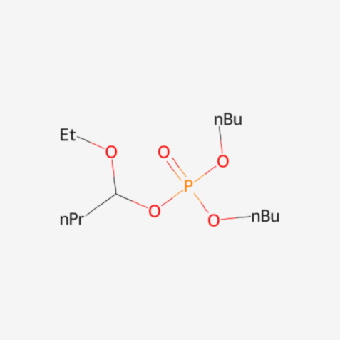 CCCCOP(=O)(OCCCC)OC(CCC)OCC